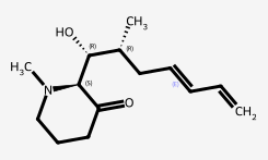 C=C/C=C/C[C@@H](C)[C@@H](O)[C@H]1C(=O)CCCN1C